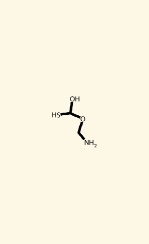 NCOC(O)S